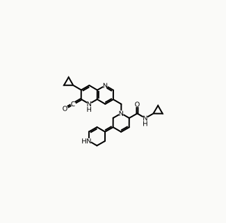 O=C=C1Nc2cc(CN3CC(=C4C=CNCC4)C=CC3C(=O)NC3CC3)cnc2C=C1C1CC1